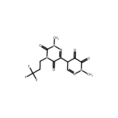 CN1N=CC(c2nn(C)c(=O)n(CCC(F)(F)F)c2=O)C(=O)C1=O